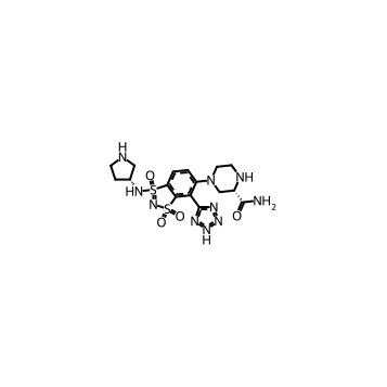 NC(=O)[C@@H]1CN(c2ccc3c(c2-c2nn[nH]n2)S(=O)(=O)N=S3(=O)N[C@@H]2CCNC2)CCN1